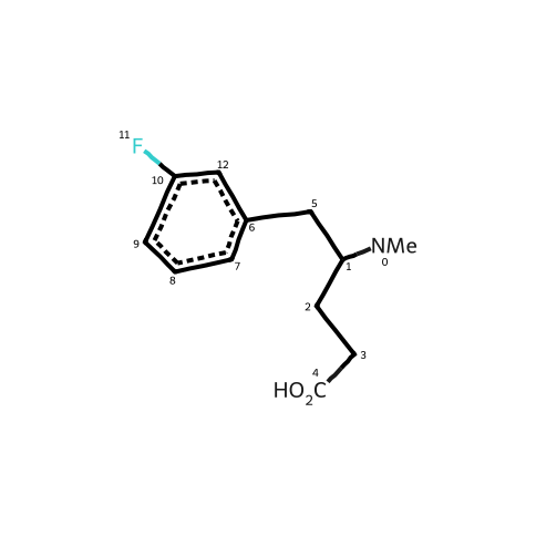 CNC(CCC(=O)O)Cc1cccc(F)c1